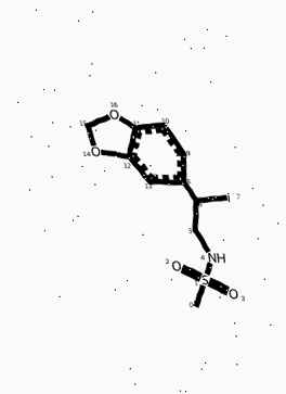 CS(=O)(=O)NCC(I)c1ccc2c(c1)OCO2